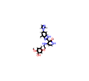 COc1cc(C[C@@H](CO)Nc2cc[nH]c(=O)c2-c2nc3c(C)cc(-n4ccnc4)cc3[nH]2)ccc1O